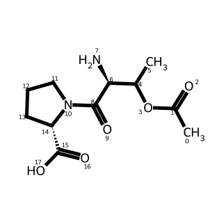 CC(=O)OC(C)[C@H](N)C(=O)N1CCC[C@H]1C(=O)O